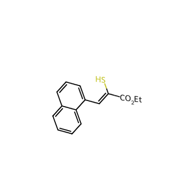 CCOC(=O)C(S)=Cc1cccc2ccccc12